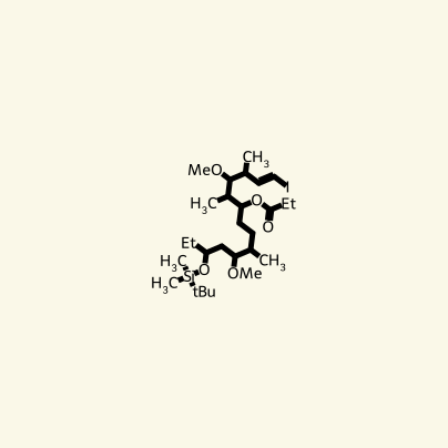 CCC(=O)OC(CCC(C)C(CC(CC)O[Si](C)(C)C(C)(C)C)OC)C(C)C(OC)C(C)/C=C/I